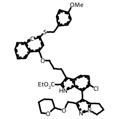 CCOC(=O)c1[nH]c2c(-c3c(COC4CCCCO4)nn4c3CCC4)c(Cl)ccc2c1CCCOc1cc(SCc2ccc(OC)cc2)cc2ccccc12